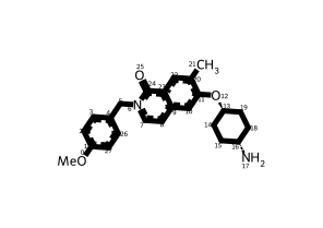 COc1ccc(Cn2ccc3cc(O[C@H]4CC[C@@H](N)CC4)c(C)cc3c2=O)cc1